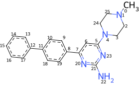 CN1CCN(c2cc(-c3ccc(-c4ccccc4)cc3)nc(N)n2)CC1